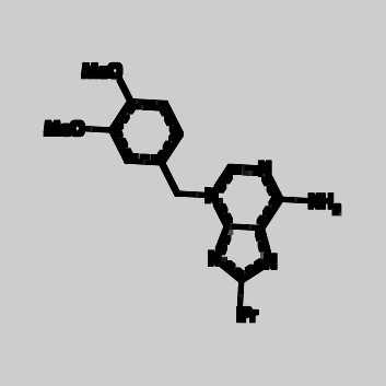 COc1ccc(Cn2cnc(N)c3nc(C(C)C)nc2-3)cc1OC